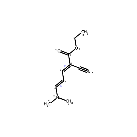 CCOC(=O)/C(C#N)=C/C=C/N(C)C